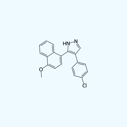 COc1ccc(-c2[nH]ncc2-c2ccc(Cl)cc2)c2ccccc12